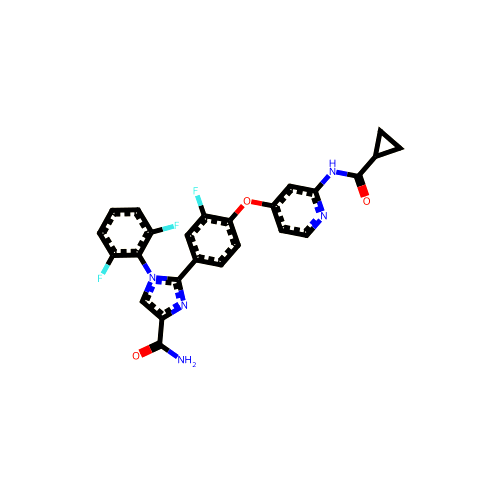 NC(=O)c1cn(-c2c(F)cccc2F)c(-c2ccc(Oc3ccnc(NC(=O)C4CC4)c3)c(F)c2)n1